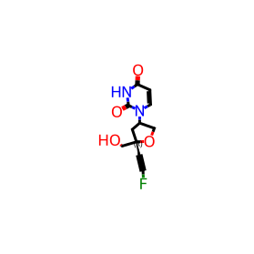 O=c1ccn(C2CO[C@](C#CF)(CO)C2)c(=O)[nH]1